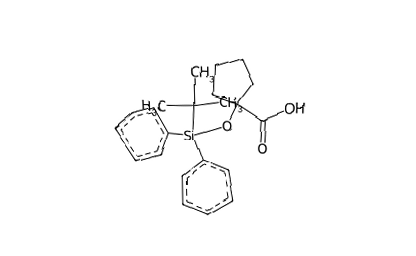 CC(C)(C)[Si](OC1(C(=O)O)CCCC1)(c1ccccc1)c1ccccc1